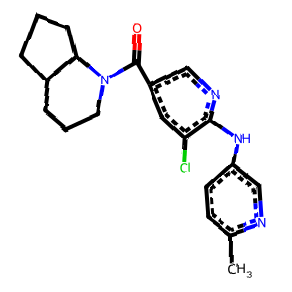 Cc1ccc(Nc2ncc(C(=O)N3CCCC4CCCC43)cc2Cl)cn1